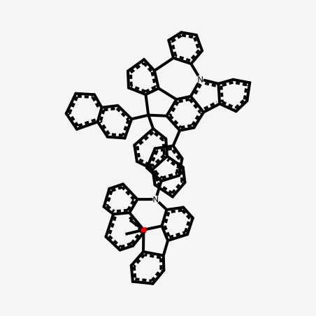 CC1(C)c2ccccc2-c2cccc(N(c3ccc(-c4cc5c6ccccc6n6c5c5c4C(c4ccc7ccccc7c4)(c4ccc7ccccc7c4)c4cccc(c4-5)-c4ccccc4-6)cc3)c3cccc4ccccc34)c21